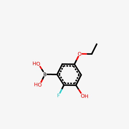 CCOc1cc(O)c(F)c(B(O)O)c1